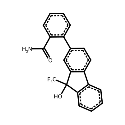 NC(=O)c1ccccc1-c1ccc2c(c1)C(O)(C(F)(F)F)c1ccccc1-2